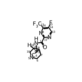 O=C(N[C@H]1CN2CCC1CC2)c1ncc(F)c(C(F)(F)F)n1